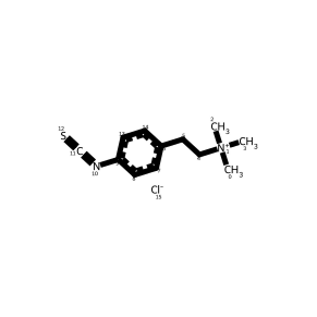 C[N+](C)(C)CCc1ccc(N=C=S)cc1.[Cl-]